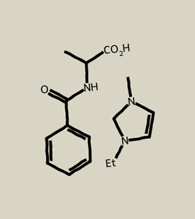 CC(NC(=O)c1ccccc1)C(=O)O.CCN1C=CN(C)C1